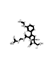 C[C@@H](O)[C@H]1C(=O)N2C(C(=O)OCOC(=O)C(C)(C)C)=C(c3cccc(NC=N)c3)C[C@H]12